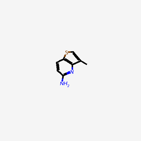 Cc1csc2ccc(N)nc12